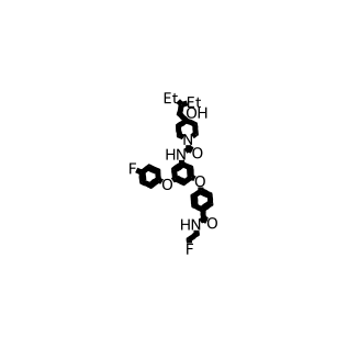 CCC(CC)CC1(O)CCN(C(=O)Nc2cc(Oc3ccc(F)cc3)cc(Oc3ccc(C(=O)NCCF)cc3)c2)CC1